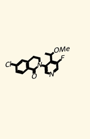 COC(C)c1c(F)cncc1N1CCc2cc(Cl)ccc2C1=O